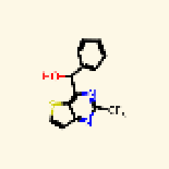 OC(c1ccccc1)c1nc(C(F)(F)F)nc2ccsc12